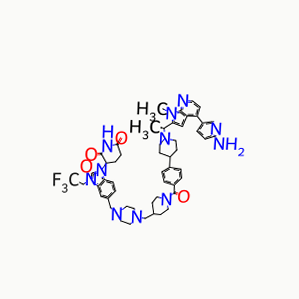 C[C@@H](c1cc2c(-c3ccc(N)nc3)ccnc2n1C)N1CCC(c2ccc(C(=O)N3CCC(CN4CCN(Cc5ccc6c(c5)n(CC(F)(F)F)c(=O)n6C5CCC(=O)NC5=O)CC4)CC3)cc2)CC1